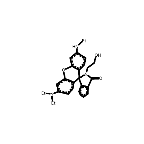 CCNc1ccc2c(c1)Oc1cc(N(CC)CC)ccc1C21c2ccccc2C(=O)N1CCO